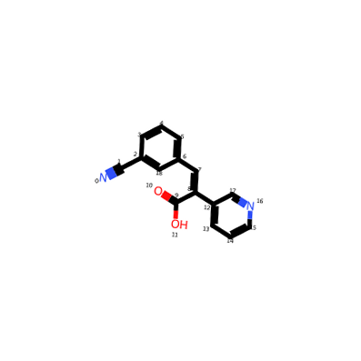 N#Cc1cccc(/C=C(\C(=O)O)c2cccnc2)c1